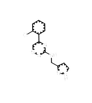 Clc1ccccc1-c1cnnc(NCc2cc[nH]n2)n1